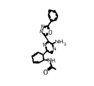 CC(=O)NC1C=CC=CC1c1cnc(N)c(-c2nnc(-c3ccccc3)o2)n1